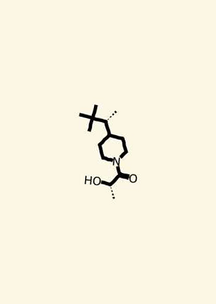 C[C@H](O)C(=O)N1CCC([C@@H](C)C(C)(C)C)CC1